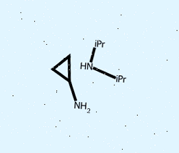 CC(C)NC(C)C.NC1CC1